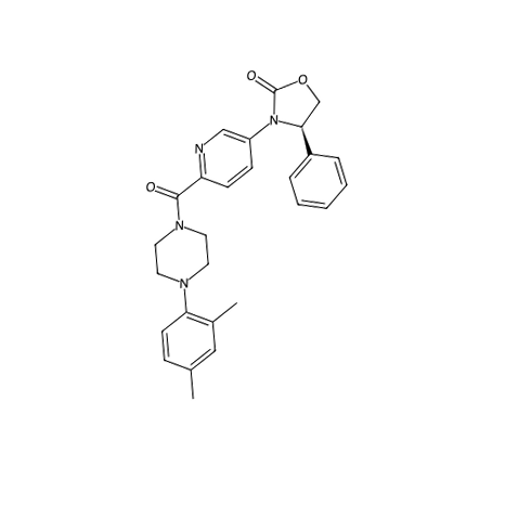 Cc1ccc(N2CCN(C(=O)c3ccc(N4C(=O)OC[C@H]4c4ccccc4)cn3)CC2)c(C)c1